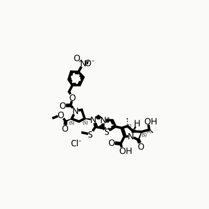 COC(=O)[C@@H]1C[C@H](n2c[n+]3cc(C4=C(C(=O)O)N5C(=O)[C@H]([C@@H](C)O)[C@H]5[C@H]4C)sc3c2SC)CN1C(=O)OCc1ccc([N+](=O)[O-])cc1.[Cl-]